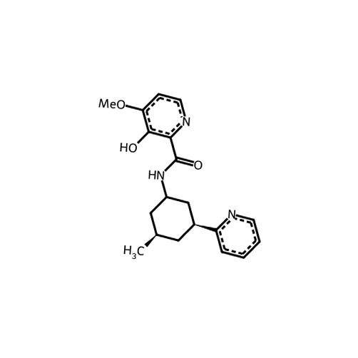 COc1ccnc(C(=O)NC2C[C@H](C)C[C@H](c3ccccn3)C2)c1O